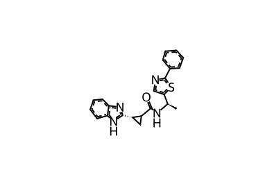 C[C@@H](NC(=O)C1C[C@@H]1c1nc2ccccc2[nH]1)c1cnc(-c2ccccc2)s1